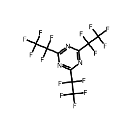 FC(F)(F)C(F)(F)c1nc(C(F)(F)C(F)(F)F)nc(C(F)(F)C(F)(F)F)n1